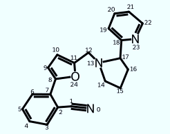 N#Cc1ccccc1-c1ccc(CN2CCCC2c2ccccn2)o1